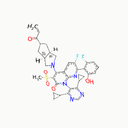 C=CC(=O)C1C[C@@H]2CN(c3c(S(C)(=O)=O)c(=O)n(-c4c(C5CC5)ncnc4C4CC4)c4nc(-c5c(O)cccc5F)c(F)cc34)C[C@@H]2C1